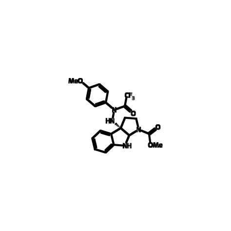 COC(=O)N1CC[C@]2(NN(C(=O)C(F)(F)F)c3ccc(OC)cc3)c3ccccc3NC12